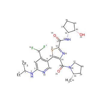 CCC(Nc1cc(C(F)F)c(-c2sc(C(=O)N[C@@H]3CCC[C@@H]3O)nc2C(=O)N2CCC[C@@H]2C)cn1)C(F)(F)F